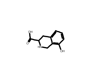 O=C(O)C1Cc2cccc(O)c2CN1